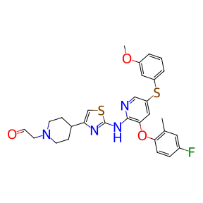 COc1cccc(Sc2cnc(Nc3nc(C4CCN(CC=O)CC4)cs3)c(Oc3ccc(F)cc3C)c2)c1